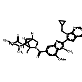 COc1cc(C(=O)N2C[C@H]3C[C@H](N(C)C)[C@@H]2[C@@H]3NC(=O)OC(C)(C)C)cc2nc(-c3cc4cccnc4n3CC3CC3)n(C)c12